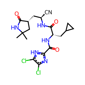 CC1(C)C[C@@H](C[C@@H](C#N)NC(=O)[C@H](CC2CC2)NC(=O)c2nc(Cl)c(Cl)[nH]2)C(=O)N1